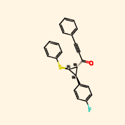 O=C(C#Cc1ccccc1)[C@H]1[C@H](Sc2ccccc2)[C@@H]1c1ccc(F)cc1